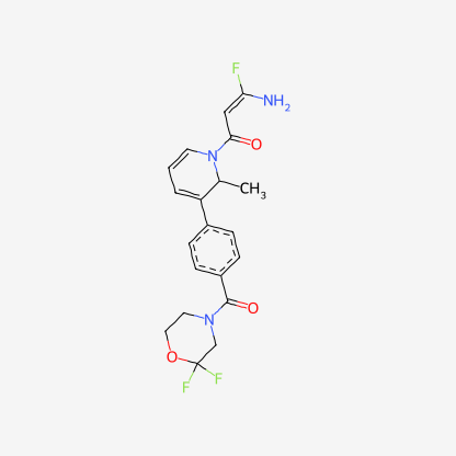 CC1C(c2ccc(C(=O)N3CCOC(F)(F)C3)cc2)=CC=CN1C(=O)/C=C(\N)F